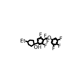 CCC1CCC(O)(c2cc(F)c(C(F)(F)Oc3cc(F)c(F)c(F)c3)c(F)c2)CC1